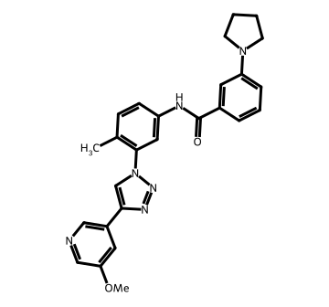 COc1cncc(-c2cn(-c3cc(NC(=O)c4cccc(N5CCCC5)c4)ccc3C)nn2)c1